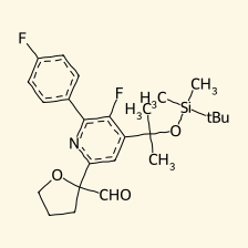 CC(C)(O[Si](C)(C)C(C)(C)C)c1cc(C2(C=O)CCCO2)nc(-c2ccc(F)cc2)c1F